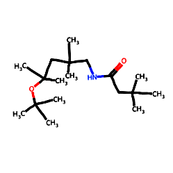 CC(C)(C)CC(=O)NCC(C)(C)CC(C)(C)OC(C)(C)C